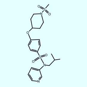 CC(C)CN(c1cccnc1)S(=O)(=O)c1ccc(OC2CCN(S(C)(=O)=O)CC2)cc1